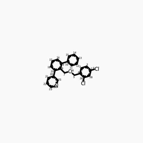 Clc1ccc(COCc2c(-c3ccccc3)cccc2-c2cccnc2)c(Cl)c1